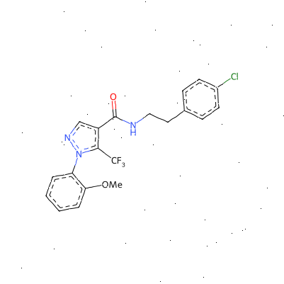 COc1ccccc1-n1ncc(C(=O)NCCc2ccc(Cl)cc2)c1C(F)(F)F